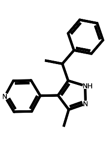 Cc1n[nH]c(C(C)c2ccccc2)c1-c1ccncc1